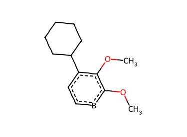 COc1bccc(C2CCCCC2)c1OC